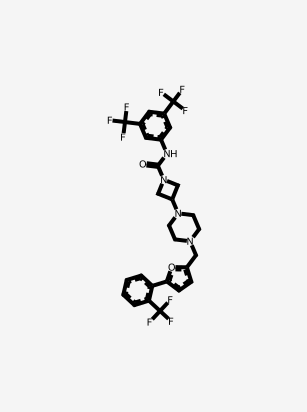 O=C(Nc1cc(C(F)(F)F)cc(C(F)(F)F)c1)N1CC(N2CCN(Cc3ccc(-c4ccccc4C(F)(F)F)o3)CC2)C1